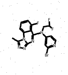 Cc1nnc2nc(N(CC(F)F)c3ccnc(Br)c3)c3c(F)cccc3n12